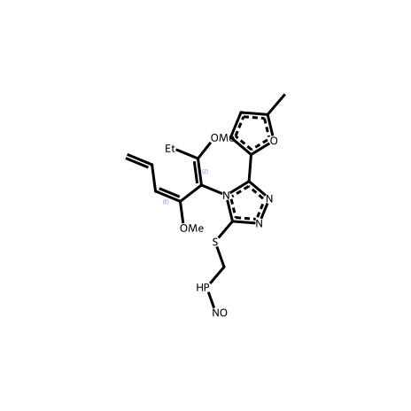 C=C/C=C(OC)\C(=C(/CC)OC)n1c(SCPN=O)nnc1-c1ccc(C)o1